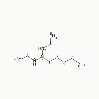 CCNN(CCCCN)NCC